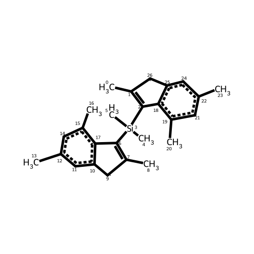 CC1=C([Si](C)(C)C2=C(C)[CH]c3cc(C)cc(C)c32)c2c(C)cc(C)cc2[CH]1